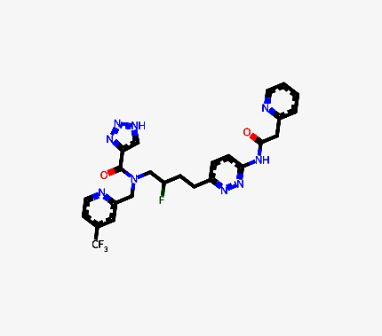 O=C(Cc1ccccn1)Nc1ccc(CCC(F)CN(Cc2cc(C(F)(F)F)ccn2)C(=O)c2c[nH]nn2)nn1